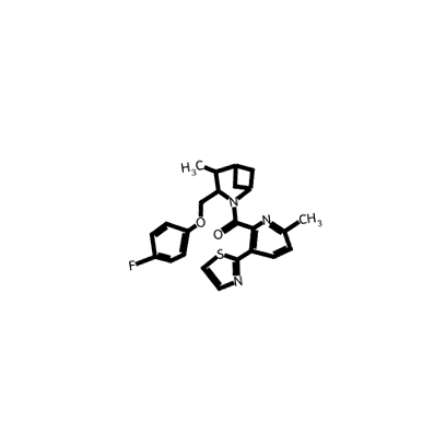 Cc1ccc(-c2nccs2)c(C(=O)N2C3CC(C3)C(C)C2COc2ccc(F)cc2)n1